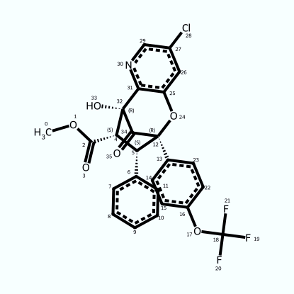 COC(=O)[C@H]1[C@@H](c2ccccc2)[C@]2(c3ccc(OC(F)(F)F)cc3)Oc3cc(Cl)cnc3[C@@]1(O)C2=O